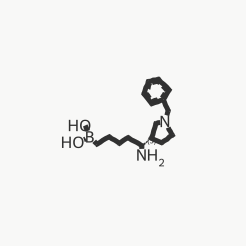 NC(CCCCB(O)O)[C@H]1CCN(Cc2ccccc2)C1